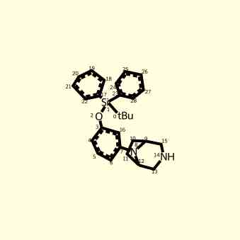 CC(C)(C)[Si](Oc1cccc(N2C3CCC2CNC3)c1)(c1ccccc1)c1ccccc1